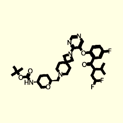 CC(C)C(CC(F)F)C(=O)c1cc(F)ccc1Oc1cncnc1N1CC2(CCN(C[C@@H]3CC[C@@H](NC(=O)OC(C)(C)C)CO3)CC2)C1